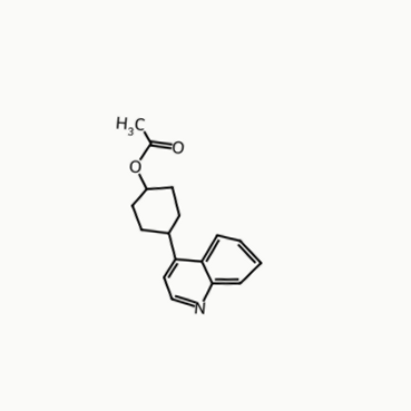 CC(=O)OC1CCC(c2ccnc3ccccc23)CC1